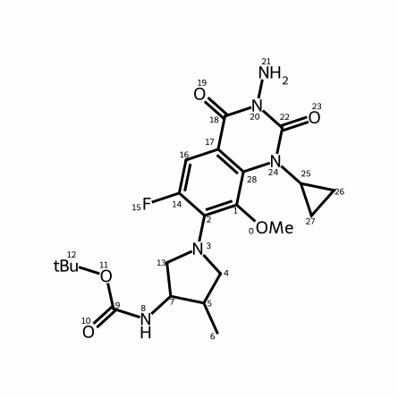 COc1c(N2CC(C)C(NC(=O)OC(C)(C)C)C2)c(F)cc2c(=O)n(N)c(=O)n(C3CC3)c12